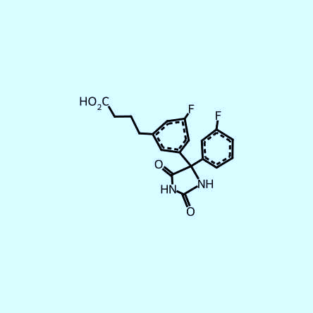 O=C(O)CCCc1cc(F)cc(C2(c3cccc(F)c3)NC(=O)NC2=O)c1